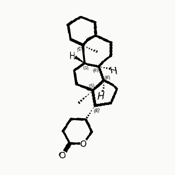 C[C@]12CC[C@H]3[C@@H](CCC4CCCC[C@@]43C)[C@H]1CC[C@@H]2C1CCC(=O)OC1